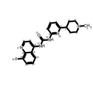 CN1CCC(c2cccc(NC(=O)Nc3ccnc4c(F)cccc34)n2)CC1